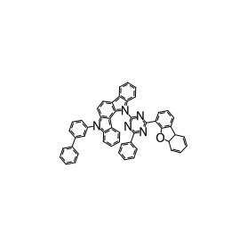 C1=CC2Oc3c(-c4nc(-c5ccccc5)nc(-n5c6ccccc6c6ccc7c(c8ccccc8n7-c7cccc(-c8ccccc8)c7)c65)n4)cccc3C2C=C1